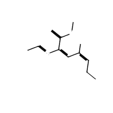 C=C(SC)C(=C\C(Cl)=C/CC)/N=C/C